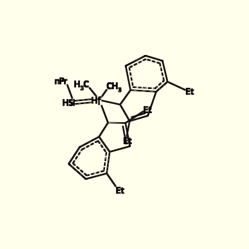 CCC[SiH]=[Hf]([CH3])([CH3])([CH]1C(CC)=Cc2c(CC)cccc21)[CH]1C(CC)=Cc2c(CC)cccc21